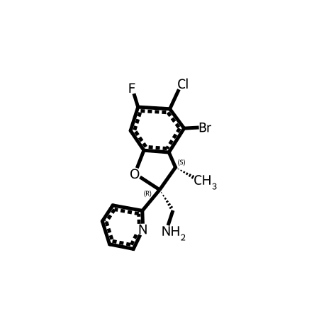 C[C@H]1c2c(cc(F)c(Cl)c2Br)O[C@]1(CN)c1ccccn1